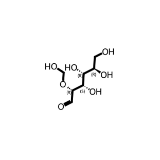 O=C[C@H](OCO)[C@@H](O)[C@H](O)[C@H](O)CO